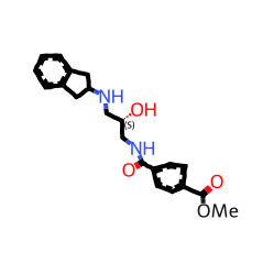 COC(=O)c1ccc(C(=O)NC[C@@H](O)CNC2Cc3ccccc3C2)cc1